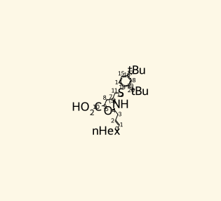 CCCCCCC=CCC(=O)N[C@@H](CCC(=O)O)CSc1ccc(C(C)(C)C)cc1C(C)(C)C